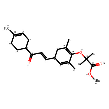 CC1=CC(/C=C/C(=O)C2CC=C(C(F)(F)F)CC2)CC(C)=C1OC(C)(C)C(=O)OC(C)(C)C